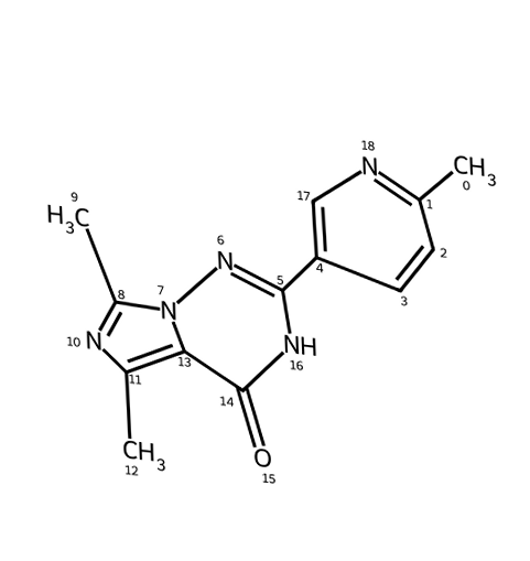 Cc1ccc(-c2nn3c(C)nc(C)c3c(=O)[nH]2)cn1